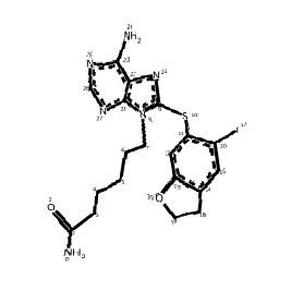 NC(=O)CCCCCn1c(Sc2cc3c(cc2I)CCO3)nc2c(N)ncnc21